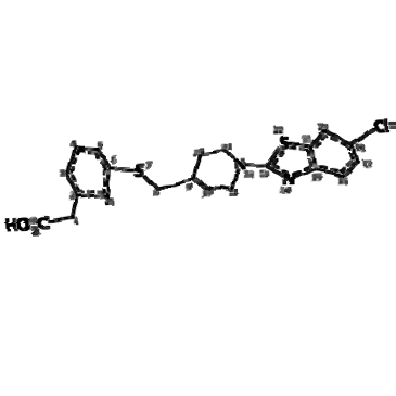 O=C(O)Cc1cccc(SCC2CCN(c3nc4ccc(Cl)cc4s3)CC2)c1